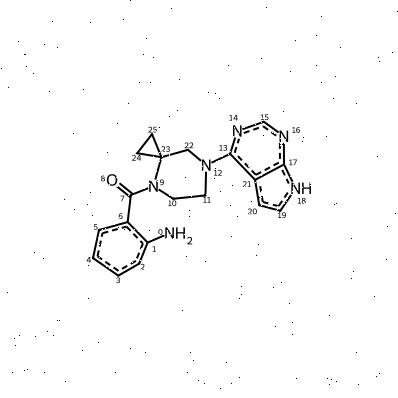 Nc1ccccc1C(=O)N1CCN(c2ncnc3[nH]ccc23)CC12CC2